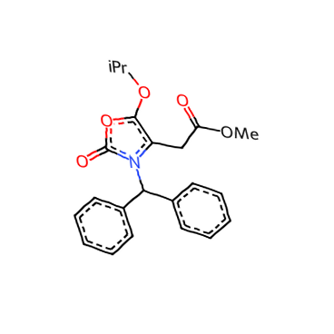 COC(=O)Cc1c(OC(C)C)oc(=O)n1C(c1ccccc1)c1ccccc1